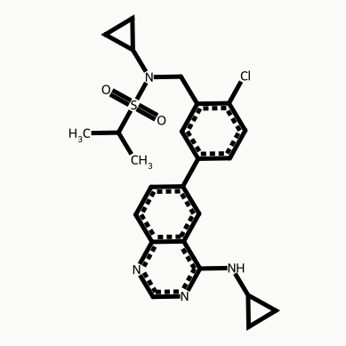 CC(C)S(=O)(=O)N(Cc1cc(-c2ccc3ncnc(NC4CC4)c3c2)ccc1Cl)C1CC1